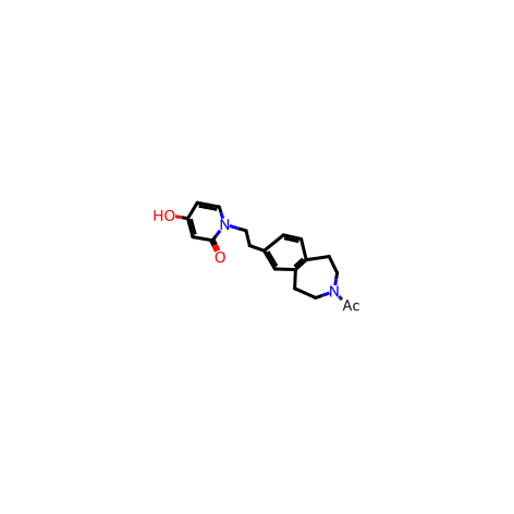 CC(=O)N1CCc2ccc(CCn3ccc(O)cc3=O)cc2CC1